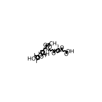 CCOC(=O)C(Cc1cc(I)c(Oc2cc(I)c(O)c(I)c2)c(I)c1)NC(=O)CCC(=O)N1CCN(C(=O)CCC(=O)O)CC1